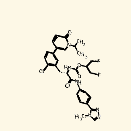 CC(C)n1cc(-c2ccc(Cl)c(C[C@H](NC(=O)OC(CF)CF)C(=O)Nc3ccc(-c4nncn4C)cc3)c2)ccc1=O